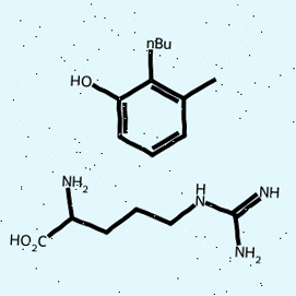 CCCCc1c(C)cccc1O.N=C(N)NCCCC(N)C(=O)O